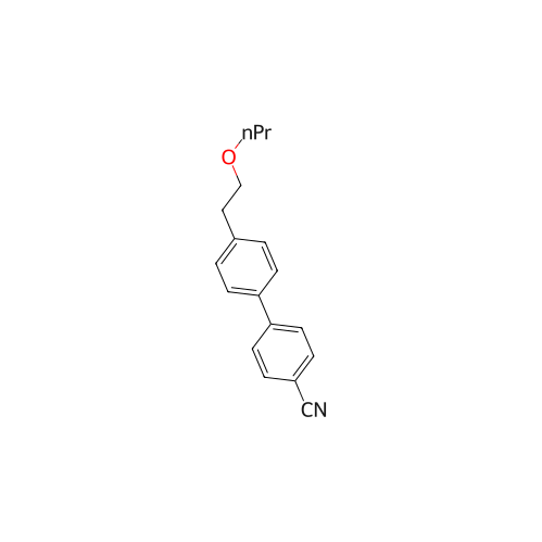 CCCOCCc1ccc(-c2ccc(C#N)cc2)cc1